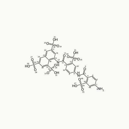 Nc1ccc(C(=O)Nc2ccc(C(=O)Nc3cc(S(=O)(=O)O)cc4cc(S(=O)(=O)O)cc(S(=O)(=O)O)c34)c(S(=O)(=O)O)c2)c(S(=O)(=O)O)c1